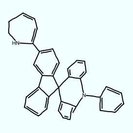 C1=CCCNC(c2ccc3c(c2)-c2ccccc2C32c3ccccc3N(c3ccccc3)c3ccccc32)=C1